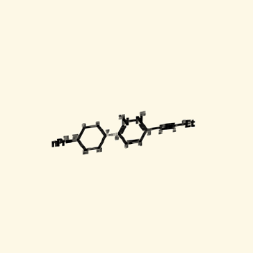 CCC#Cc1ccc([C@H]2CC[C@H](CCC)CC2)nn1